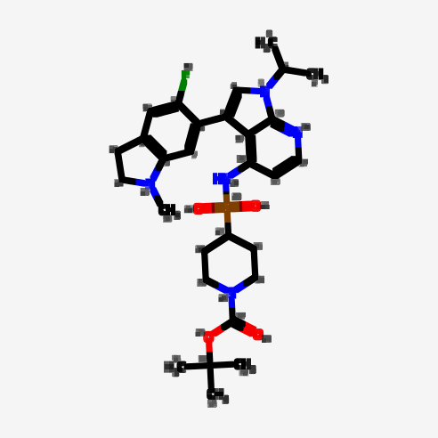 CC(C)n1cc(-c2cc3c(cc2F)CCN3C)c2c(NS(=O)(=O)C3CCN(C(=O)OC(C)(C)C)CC3)ccnc21